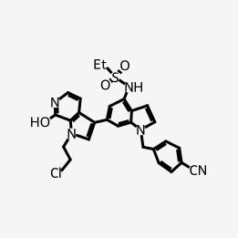 CCS(=O)(=O)Nc1cc(-c2cn(CCCl)c3c(O)nccc23)cc2c1ccn2Cc1ccc(C#N)cc1